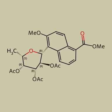 COC(=O)c1cccc2c([C@H]3O[C@@H](C)[C@@H](OC(C)=O)[C@@H](OC(C)=O)[C@@H]3OC(C)=O)c(OC)ccc12